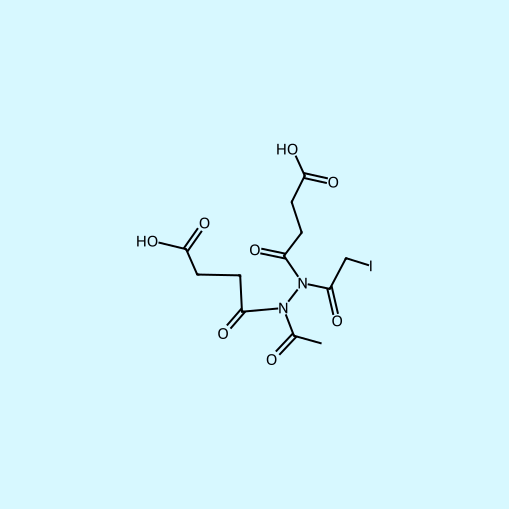 CC(=O)N(C(=O)CCC(=O)O)N(C(=O)CI)C(=O)CCC(=O)O